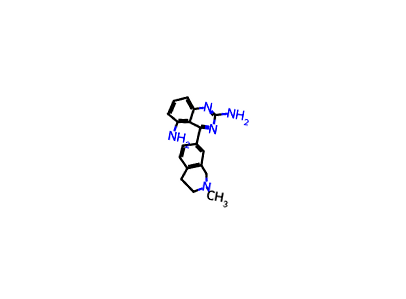 CN1CCc2ccc(-c3nc(N)nc4cccc(N)c34)cc2C1